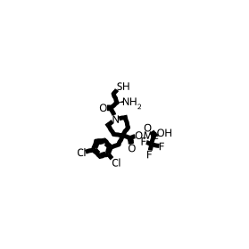 COC(=O)C1(Cc2ccc(Cl)cc2Cl)CCN(C(=O)[C@@H](N)CS)CC1.O=C(O)C(F)(F)F